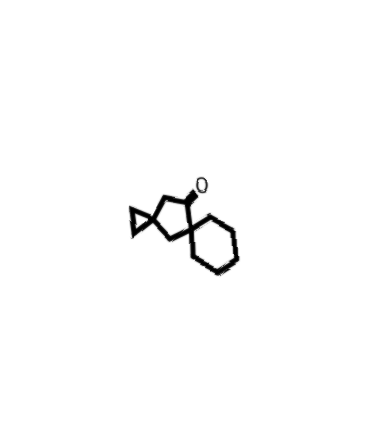 O=C1CC2(CC2)CC12CCCCC2